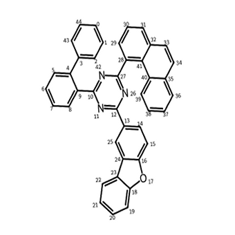 c1ccc(-c2ccccc2-c2nc(-c3ccc4oc5ccccc5c4c3)nc(-c3cccc4ccc5ccccc5c34)n2)cc1